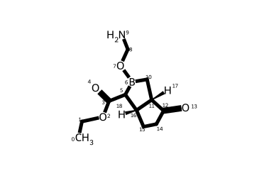 CCOC(=O)C1B(OCN)C[C@@H]2C(=O)CC[C@H]12